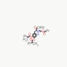 COC(=O)[C@H](Cc1ccc(OC(=O)C(C)C(C)C)c(OC(=O)C(C)C(C)C)c1)NCCOC(=O)C(C)C